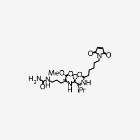 COC(=O)[C@H](CCCNC(N)=O)NC(=O)[C@@H](NC(=O)CCCCCN1C(=O)C=CC1=O)C(C)C